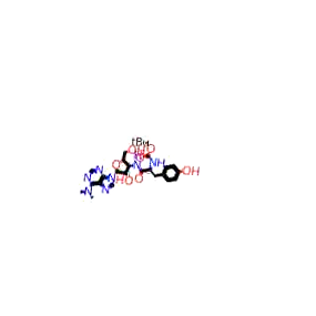 CN(C)c1ncnc2c1ncn2[C@@H]1OC(CO)[C@@H](NC(=O)[C@H](Cc2ccc(O)cc2)NC(=O)OC(C)(C)C)[C@H]1O